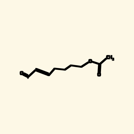 CC(=O)OCCCCC=C[C]=O